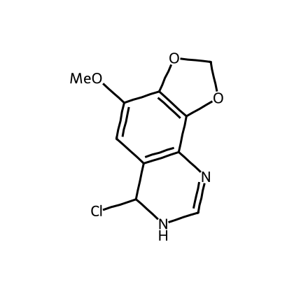 COc1cc2c(c3c1OCO3)N=CNC2Cl